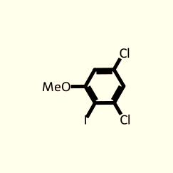 COc1cc(Cl)cc(Cl)c1I